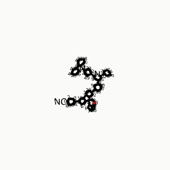 N#Cc1ccc(-c2ccc3c(c2)-c2ccc(-c4cccc(-c5cc(-c6ccccc6)nc(-c6ccc(-n7c8ccccc8c8ccccc87)cc6)c5)c4)cc2C32C3CC4CC(C3)CC2C4)cc1